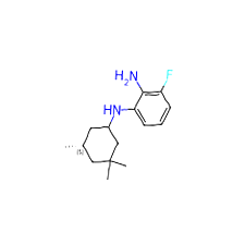 C[C@@H]1CC(Nc2cccc(F)c2N)CC(C)(C)C1